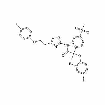 CC(Oc1ccc(F)cc1F)(C(=O)Nc1nc(CCOc2ccc(F)cc2)cs1)c1ccc(S(C)(=O)=O)cc1